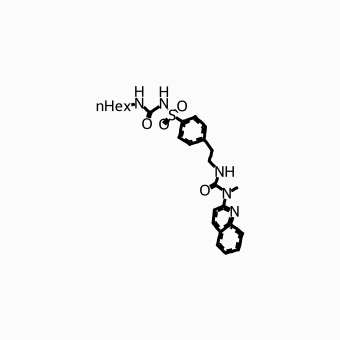 CCCCCCNC(=O)NS(=O)(=O)c1ccc(CCNC(=O)N(C)c2ccc3ccccc3n2)cc1